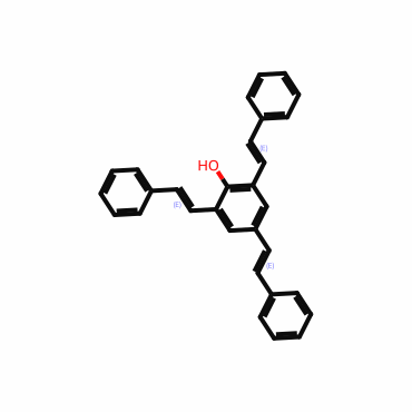 Oc1c(/C=C/c2ccccc2)cc(/C=C/c2ccccc2)cc1/C=C/c1ccccc1